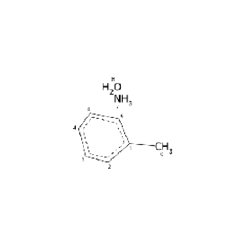 Cc1ccccc1.N.O